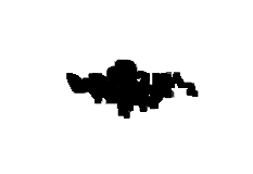 COC(=O)c1ccc2c3c(N)ncnc3n(CC(=O)N3CC(C)(C)C[C@H]3C(=O)Nc3cccc(Br)n3)c2c1